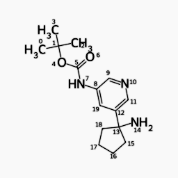 CC(C)(C)OC(=O)Nc1cncc(C2(N)CCCC2)c1